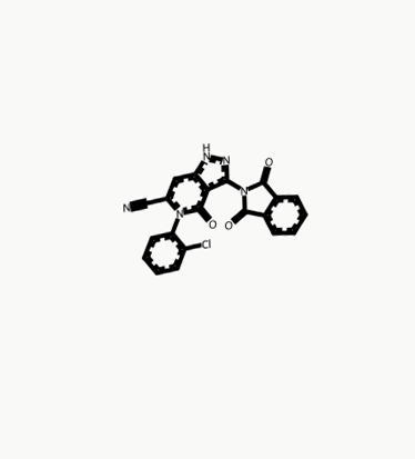 N#Cc1cc2[nH]nc(N3C(=O)c4ccccc4C3=O)c2c(=O)n1-c1ccccc1Cl